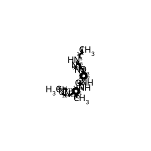 CCCCNc1cc(Oc2ccc(NC(=O)Nc3ccc(CN4CCN(C)CC4)c(C)c3)cc2)ncn1